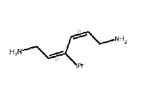 CC(C)C(/C=C\CN)=C/CN